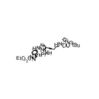 CCCNc1nc(Nc2ccc3c(cnn3C(=O)OCC)c2)ncc1C#CCCCNC(=O)[C@@H]1CCCN1C(=O)OC(C)(C)C